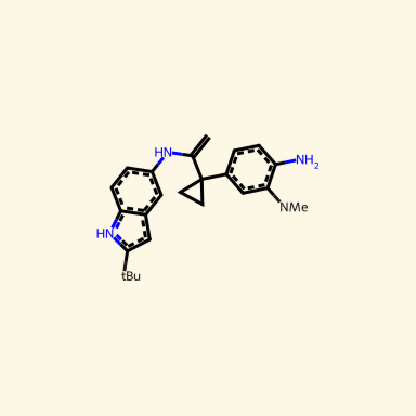 C=C(Nc1ccc2[nH]c(C(C)(C)C)cc2c1)C1(c2ccc(N)c(NC)c2)CC1